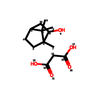 CC1(C)C2CCC1(C)C(O)C2.O=C(O)CC(=O)O